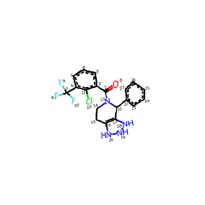 O=C(c1cccc(C(F)(F)F)c1Cl)N1CCC2=C(NNN2)C1c1ccccc1